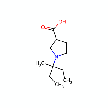 CCC(C)(CC)N1CCC(C(=O)O)C1